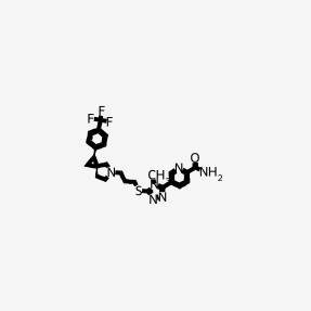 Cn1c(SCCCN2CC[C@]3(C[C@H]3c3ccc(C(F)(F)F)cc3)C2)nnc1-c1ccc(C(N)=O)nc1